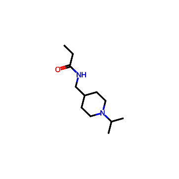 CCC(=O)NCC1CCN(C(C)C)CC1